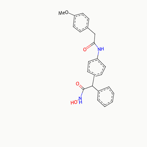 COc1ccc(CC(=O)Nc2ccc(C(C(=O)NO)c3ccccc3)cc2)cc1